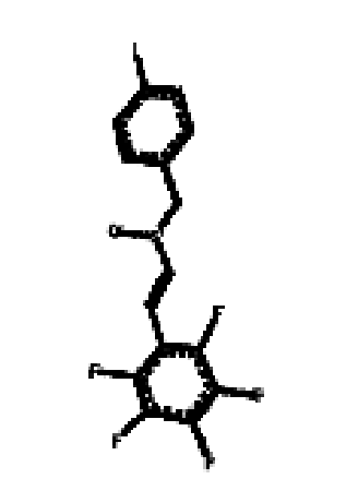 [O-][S+](C=Cc1c(F)c(F)c(F)c(F)c1F)Cc1ccc(I)cc1